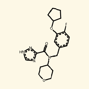 O=C(c1nc[nH]n1)N(Cc1ccc(F)c(OC2CCCC2)c1)C1CCOCC1